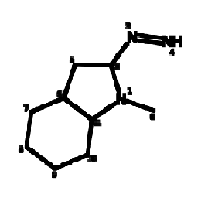 CN1C(N=N)CC2CCCCC21